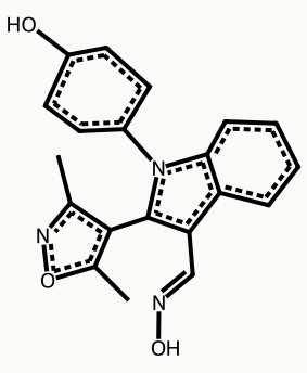 Cc1noc(C)c1-c1c(/C=N/O)c2ccccc2n1-c1ccc(O)cc1